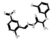 CC(Oc1cccc(Cl)c1)C(=O)N/N=C/c1cc([N+](=O)[O-])ccc1O